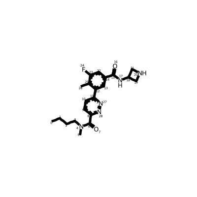 CCCCN(C)C(=O)c1ccc(-c2cc(C(=O)NC3CNC3)cc(F)c2C)nn1